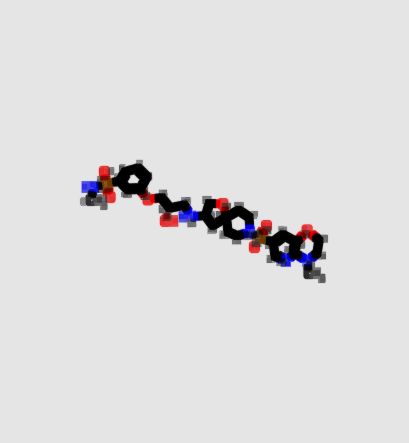 CNS(=O)(=O)c1cccc(OC[C@@H](O)CNC2COC3(CCN(S(=O)(=O)c4cnc5c(c4)OCCN5C)CC3)C2)c1